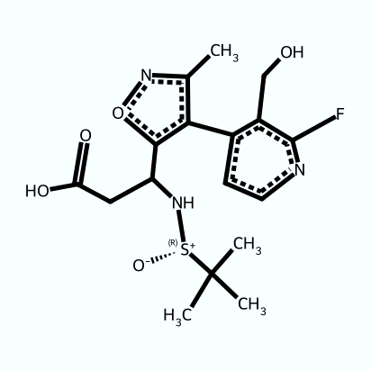 Cc1noc(C(CC(=O)O)N[S@@+]([O-])C(C)(C)C)c1-c1ccnc(F)c1CO